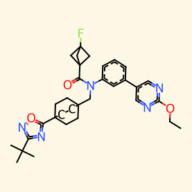 CCOc1ncc(-c2cccc(N(CC34CCC(c5nc(C(C)(C)C)no5)(CC3)CC4)C(=O)C34CC(F)(C3)C4)c2)cn1